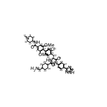 COc1cc(C(=O)NC2CCN(C)CC2)cc(OC)c1-c1ccc(C[C@H](NC(=O)C2CCC(CN)CC2)C(=O)Nc2ccc(-c3nn[nH]n3)cc2)cc1.Cl